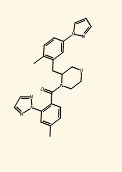 Cc1ccc(C(=O)N2CCOCC2Cc2cc(-n3cccn3)ccc2C)c(-n2nccn2)c1